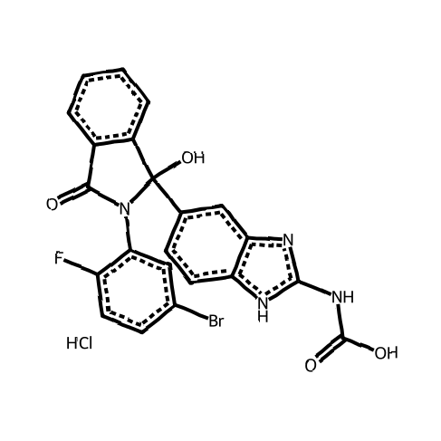 Cl.O=C(O)Nc1nc2cc(C3(O)c4ccccc4C(=O)N3c3cc(Br)ccc3F)ccc2[nH]1